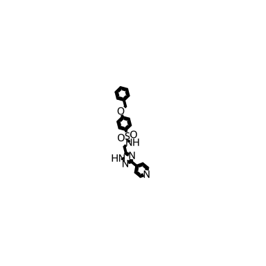 O=S(=O)(NCc1nc(-c2ccncc2)n[nH]1)c1ccc(OCc2ccccc2)cc1